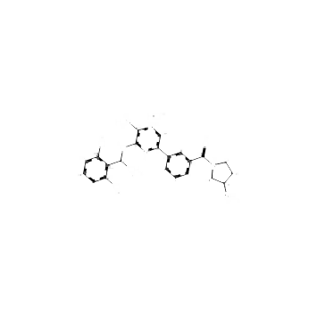 CC(Oc1nc(-c2cccc(C(=O)N3CCC(N)C3)c2)cnc1N)c1c(Cl)cccc1Cl.Cl